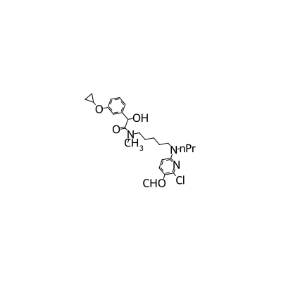 CCCN(CCCCCN(C)C(=O)C(O)c1cccc(OC2CC2)c1)c1ccc(C=O)c(Cl)n1